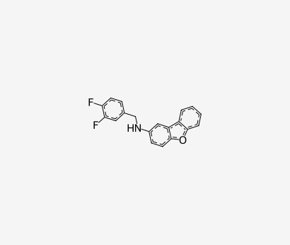 Fc1ccc(CNc2ccc3oc4ccccc4c3c2)cc1F